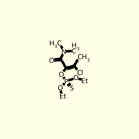 CCOP(=S)(OCC)OC(C(=O)N(C)C)=C(C)Cl